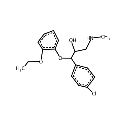 CCOc1ccccc1OC(c1ccc(Cl)cc1)C(O)CNC